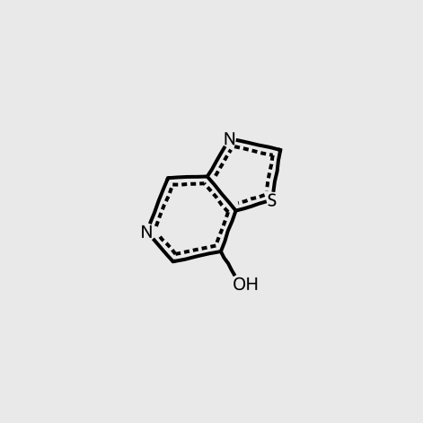 Oc1cncc2ncsc12